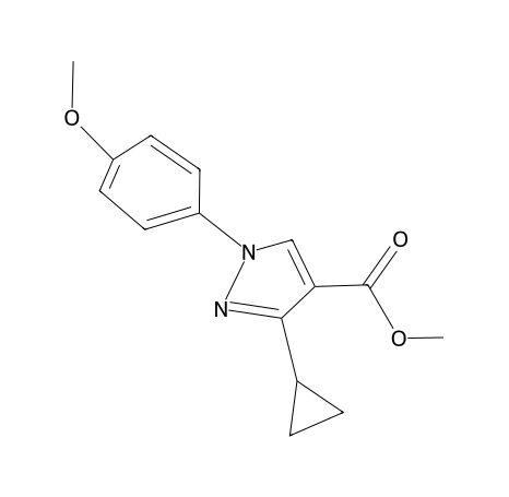 COC(=O)c1cn(-c2ccc(OC)cc2)nc1C1CC1